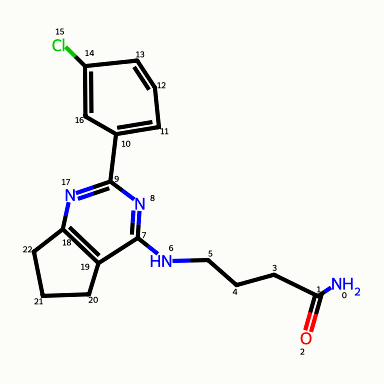 NC(=O)CCCNc1nc(-c2cccc(Cl)c2)nc2c1CCC2